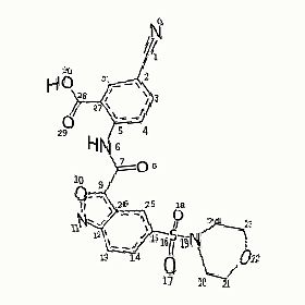 N#Cc1ccc(NC(=O)c2onc3ccc(S(=O)(=O)N4CCOCC4)cc23)c(C(=O)O)c1